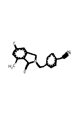 Cc1cc(F)cc2c1C(=O)N(Cc1ccc(C#N)cc1)C2